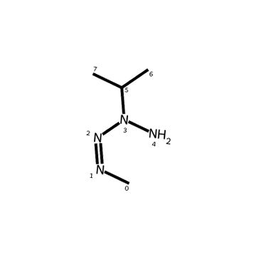 C/N=N\N(N)C(C)C